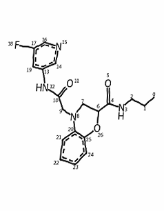 CCCNC(=O)C1CN(CC(=O)Nc2cncc(F)c2)c2ccccc2O1